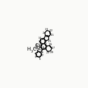 C[Si]1(C)c2ccccc2-c2c3c(c4c5c(ccc4c21)C1=C(C=CCC1)C5)C=CCC3